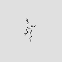 CCOc1cc(C=CF)c(Cl)cc1CC=O